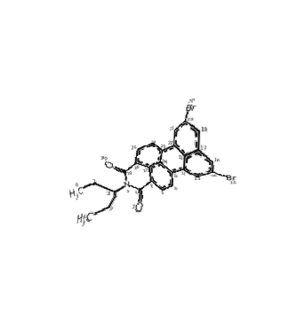 CCC(CC)N1C(=O)c2ccc3c4cc(Br)cc5cc(Br)cc(c6ccc(c2c36)C1=O)c54